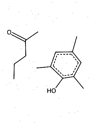 CCCC(C)=O.Cc1cc(C)c(O)c(C)c1